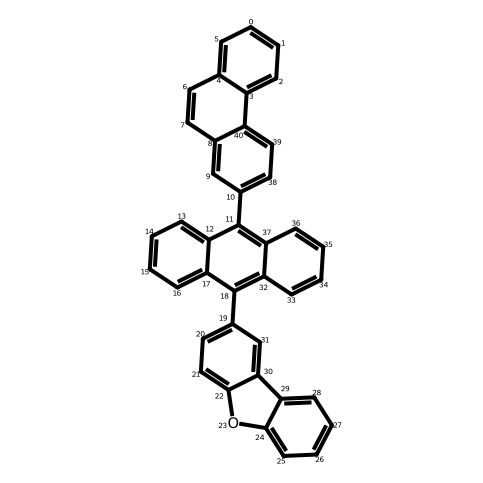 c1ccc2c(c1)ccc1cc(-c3c4ccccc4c(-c4ccc5oc6ccccc6c5c4)c4ccccc34)ccc12